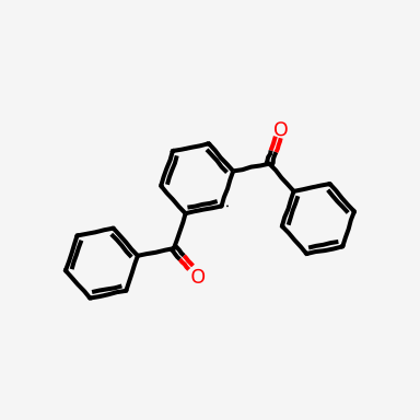 O=C(c1[c]c(C(=O)c2ccccc2)ccc1)c1ccccc1